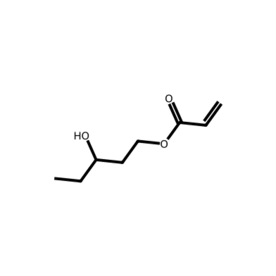 C=CC(=O)OCCC(O)CC